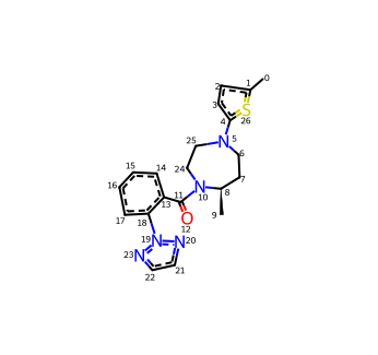 Cc1ccc(N2CC[C@@H](C)N(C(=O)c3ccccc3-n3nccn3)CC2)s1